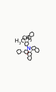 CC1(C)c2ccc(N(c3cccc(-c4ccccc4)c3)c3ccc4ccccc4c3-c3ccc4ccccc4c3)cc2-c2cc3ccccc3cc21